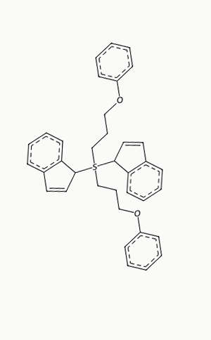 C1=CC(S(CCCOc2ccccc2)(CCCOc2ccccc2)C2C=Cc3ccccc32)c2ccccc21